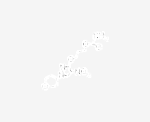 NC(=O)OCCCOc1nn(C2CCOCC2)cc1[N+](=O)[O-]